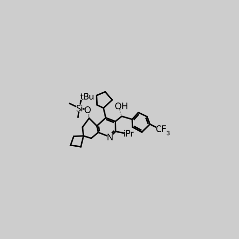 CC(C)c1nc2c(c(C3CCCC3)c1[C@H](O)c1ccc(C(F)(F)F)cc1)[C@@H](O[Si](C)(C)C(C)(C)C)CC1(CCC1)C2